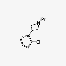 CC(C)N1CC(c2ccccc2Cl)C1